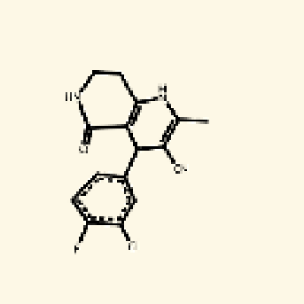 CC1=C(C#N)C(c2ccc(F)c(Cl)c2)C2=C(CCNC2=O)N1